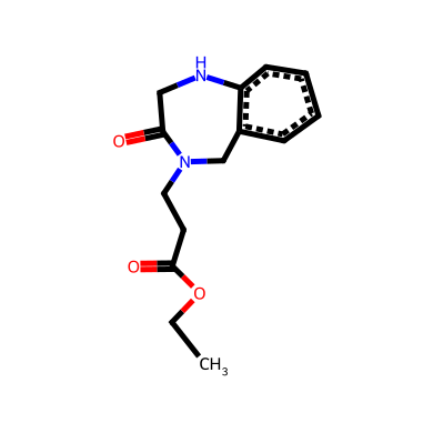 CCOC(=O)CCN1Cc2ccccc2NCC1=O